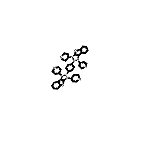 c1ccc2c3c(oc2c1)N(c1ccncc1)B(c1ccc(B2N(c4ccncc4)c4sc5ccccc5c4N2c2ccncc2)cc1)N3c1ccncc1